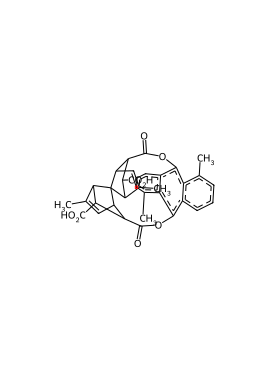 CC1=CC2C3C(=O)Oc4c5cccc(C)c5c(c5cccc(C)c45)OC(=O)C4C(C(=O)O)C5C(C)=CC4C25C1C3C(=O)O